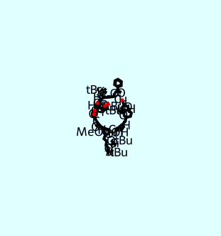 C=C1[C@H](C)CC2CC[C@@H]3O[C@@H](CCC(OC(=O)c4ccccc4)/C=C/C(O[Si](C)(C)C(C)(C)C)[C@@H]4O[C@H]5CCC(CC(=O)C[C@H]6[C@H](C[C@H]1O)OC(CC(CO[Si](C)(C)C(C)(C)C)O[Si](C)(C)C(C)(C)C)[C@@H]6OC)O[C@@H]5C(O[Si](C)(C)C(C)(C)C)C4O[Si](C)(C)C(C)(C)C)CC3(CI)O2